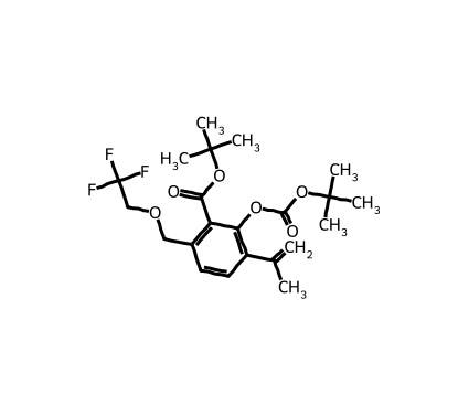 C=C(C)c1ccc(COCC(F)(F)F)c(C(=O)OC(C)(C)C)c1OC(=O)OC(C)(C)C